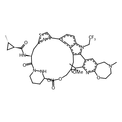 CO[C@@H](C)c1nc2c(cc1-c1c3c4cc(ccc4n1CC(F)(F)F)-c1csc(n1)C[C@H](NC(=O)[C@H]1C[C@@H]1C)C(=O)N1CCC[C@@](O)(N1)C(=O)OCC(C)(C)C3)CN(C)CCO2